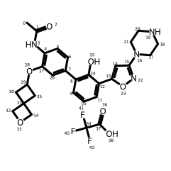 CC(=O)Nc1ccc(-c2cccc(-c3cc(N4CCNCC4)no3)c2O)cc1OC1CC2(COC2)C1.O=C(O)C(F)(F)F